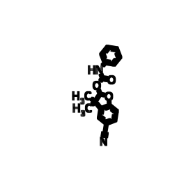 CC1(C)c2cc(C#N)ccc2OC1OC(=O)Nc1ccccc1